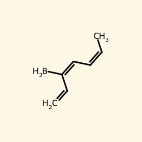 B/C(C=C)=C/C=C\C